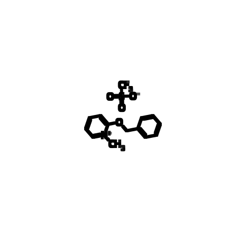 C[n+]1ccccc1OCc1ccccc1.O=S(=O)([O-])C(F)(F)F